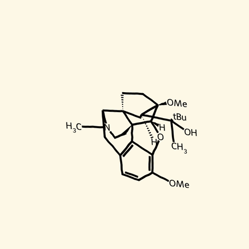 COc1ccc2c3c1O[C@H]1[C@@]4(OC)CC[C@@]5(C[C@@H]4[C@](C)(O)C(C)(C)C)C(C2)N(C)CC[C@]315